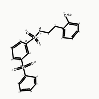 COc1ccccc1CCNS(=O)(=O)c1cccc(S(=O)(=O)c2ccccc2)c1